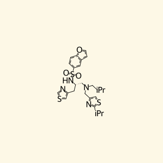 CC(C)CN(Cc1csc(C(C)C)n1)C[C@H](Cc1cscn1)NS(=O)(=O)c1ccc2occc2c1